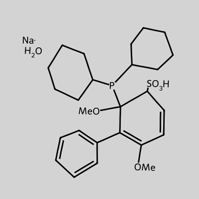 COC1=C(c2ccccc2)C(OC)(P(C2CCCCC2)C2CCCCC2)C(S(=O)(=O)O)C=C1.O.[Na]